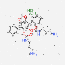 Cl.Cl.NCCCNC(=O)Oc1c(OC(=O)NCCCN)c(-c2ccccc2)c2c(c1-c1ccccc1)OCO2